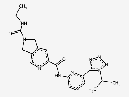 CCNC(=O)N1Cc2cnc(C(=O)Nc3cccc(-c4nnnn4C(C)C)n3)cc2C1